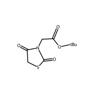 CC(C)(C)OC(=O)CN1C(=O)CSC1=O